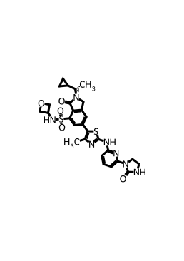 Cc1nc(Nc2cccc(N3CCNC3=O)n2)sc1-c1cc2c(c(S(=O)(=O)NC3COC3)c1)C(=O)N([C@@H](C)C1CC1)C2